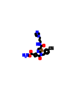 N#Cc1ccc(CN(C(=O)C2CC(C(=O)ON)C2)c2ncc(C(=O)NCCCn3ccnc3)s2)cc1